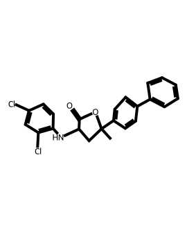 CC1(c2ccc(-c3ccccc3)cc2)CC(Nc2ccc(Cl)cc2Cl)C(=O)O1